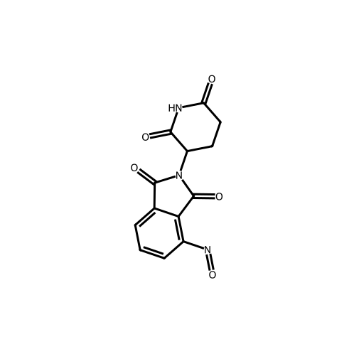 O=Nc1cccc2c1C(=O)N(C1CCC(=O)NC1=O)C2=O